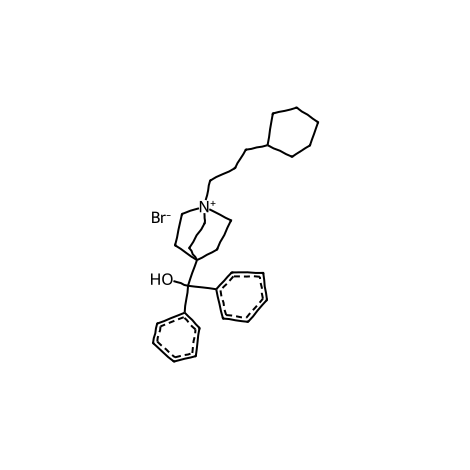 OC(c1ccccc1)(c1ccccc1)C12CC[N+](CCCC3CCCCC3)(CC1)CC2.[Br-]